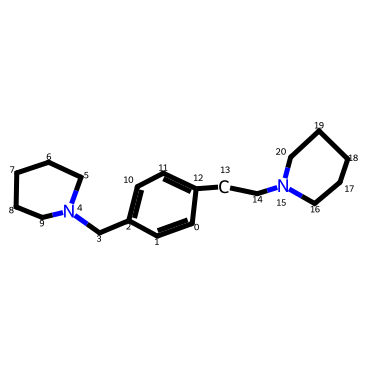 c1cc(CN2CCCCC2)ccc1CCN1CCCCC1